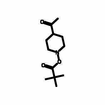 CC(=O)C1CCN(OC(=O)C(C)(C)C)CC1